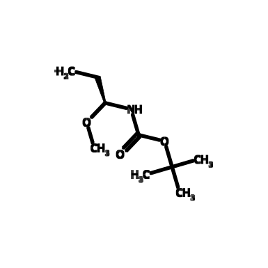 [CH2]C[C@@H](NC(=O)OC(C)(C)C)OC